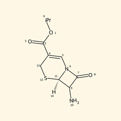 CC(C)OC(=O)C1=CN2C(=O)C(N)[C@H]2SC1